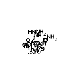 CC(C)(C)OC(=O)N1C(=O)CC[C@H]1C(=O)O.N=C(N)NCCCC(NC(=O)[C@@H]1CCCN1)C(=O)O.Nc1ccc([N+](=O)[O-])cc1